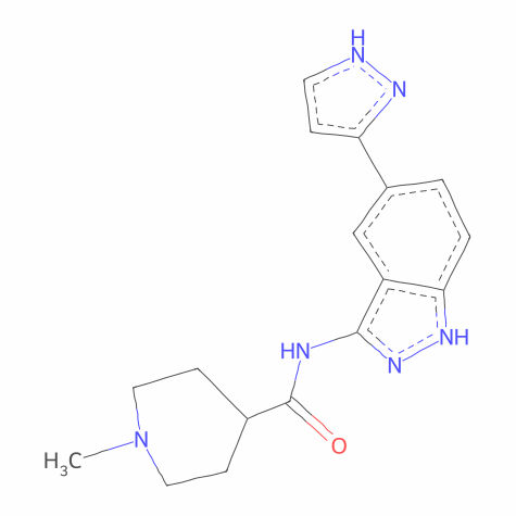 CN1CCC(C(=O)Nc2n[nH]c3ccc(-c4cc[nH]n4)cc23)CC1